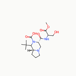 COC(=O)C(CO)NC(=O)[C@@H]1CN2CCC[C@@H]2C(C(C)(C)C)N1C(=O)O